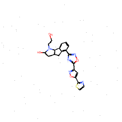 OCCN1C(O)CC2Cc3c(-c4noc(-c5cc(-c6nccs6)on5)n4)cccc3C21